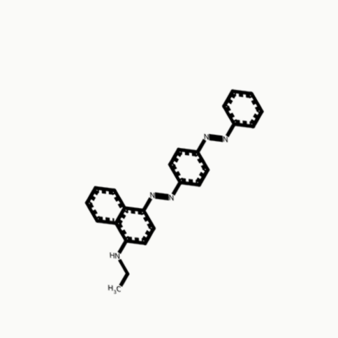 CCNc1ccc(N=Nc2ccc(N=Nc3ccccc3)cc2)c2ccccc12